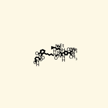 CCn1nc(C2CC2)cc1Nc1nc(C(=O)NCCCCCc2cccc3c2C(=O)N(C2CCC(=O)NC2=O)C3=O)nc2[nH]c3cc(-c4c(C)noc4C)c(OC)cc3c12